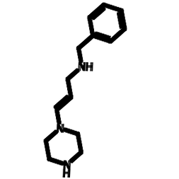 C(=CN1CCNCC1)CNCc1ccccc1